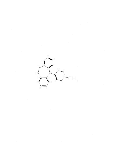 CN1CC=C(C2c3ccccc3CCc3ccccc32)CC1